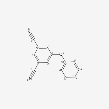 N#Cc1cc(C#N)cc(Oc2c[c]ccc2)c1